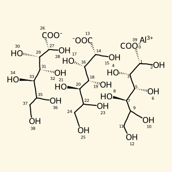 O=C([O-])[C@H](O)[C@@H](O)[C@H](O)[C@H](O)C(O)CO.O=C([O-])[C@H](O)[C@@H](O)[C@H](O)[C@H](O)C(O)CO.O=C([O-])[C@H](O)[C@@H](O)[C@H](O)[C@H](O)C(O)CO.[Al+3]